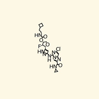 O=C(NCCC1CCC1)O[C@H]1CO[C@@H](c2cc(Nc3nc(Cl)cc4nc(C(=O)NC5CC5)cn34)n[nH]2)[C@H]1F